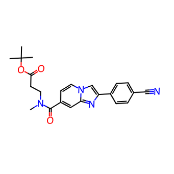 CN(CCC(=O)OC(C)(C)C)C(=O)c1ccn2cc(-c3ccc(C#N)cc3)nc2c1